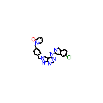 CN(c1cc2cc(Cl)ccc2cn1)c1ncnc2nn(Cc3ccc(Cn4ccccc4=O)cc3)cc12